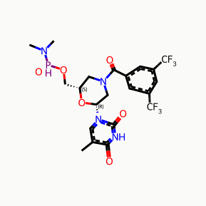 Cc1cn([C@H]2CN(C(=O)c3cc(C(F)(F)F)cc(C(F)(F)F)c3)C[C@@H](CO[PH](=O)N(C)C)O2)c(=O)[nH]c1=O